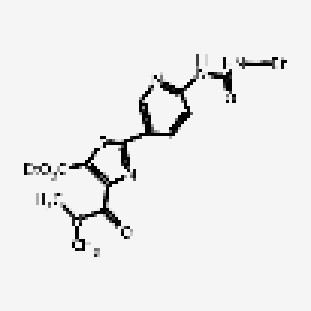 CCNC(=O)Nc1ccc(-c2nc(C(=O)N(C)C)c(C(=O)OCC)s2)cn1